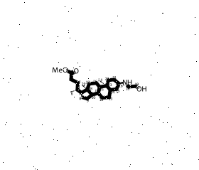 COC(=O)CC[C@@H](C)[C@H]1CCC2C3CCC4C[C@H](NCCO)CC[C@]4(C)C3CC[C@@]21C